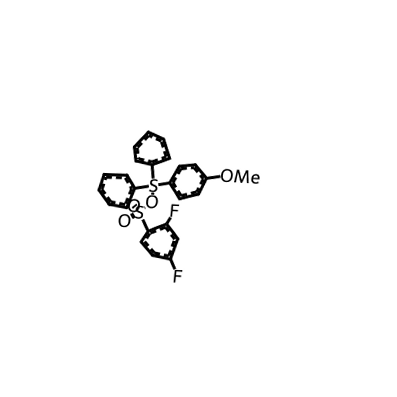 COc1ccc(S(OS(=O)(=O)c2ccc(F)cc2F)(c2ccccc2)c2ccccc2)cc1